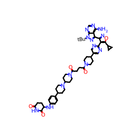 CC(C)(C)n1nc(-c2noc(C3CC3)c2-c2ncc(C3CCN(C(=O)CCC(=O)N4CCC(N5CCC(c6ccc(NC7CCC(=O)NC7=O)cc6)CC5)CC4)CC3)cn2)c2c(N)ncnc21